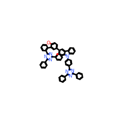 c1ccc(-c2nc(-c3ccccc3)nc(-c3ccc(-n4c5ccccc5c5cc(-c6ccc7oc8cccc(-c9nc(-c%10ccccc%10)nc(-c%10ccccc%10)n9)c8c7c6)ccc54)cc3)n2)cc1